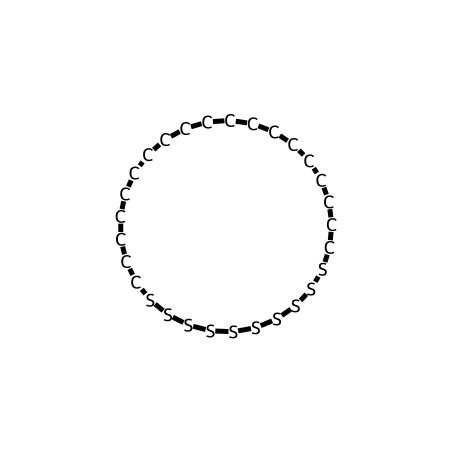 C1CCCCCCCCCSSSSSSSSSSCCCCCCCCC1